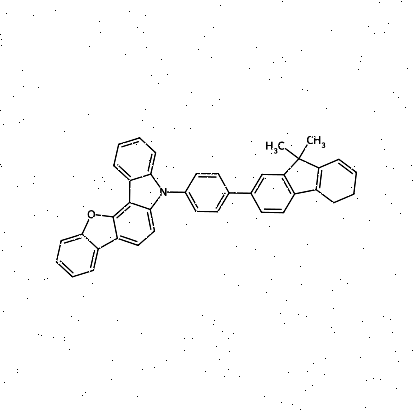 CC1(C)C2=C(CCC=C2)c2ccc(-c3ccc(-n4c5ccccc5c5c6oc7ccccc7c6ccc54)cc3)cc21